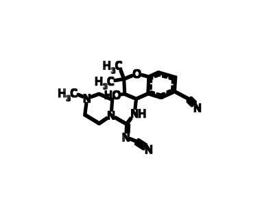 CN1CCN(/C(=N/C#N)NC2c3cc(C#N)ccc3OC(C)(C)C2O)CC1